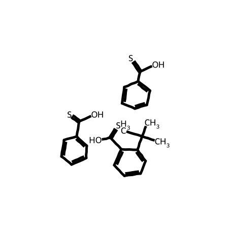 CC(C)(C)c1ccccc1C(O)=S.OC(=S)c1ccccc1.OC(=S)c1ccccc1